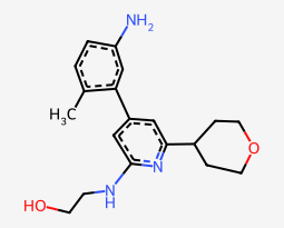 Cc1ccc(N)cc1-c1cc(NCCO)nc(C2CCOCC2)c1